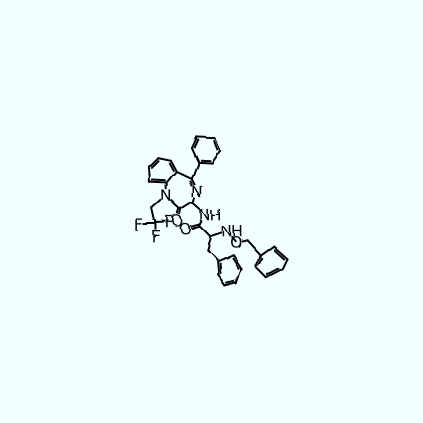 O=C(NC1N=C(c2ccccc2)c2ccccc2N(CC(F)(F)F)C1=O)C(Cc1ccccc1)NOCc1ccccc1